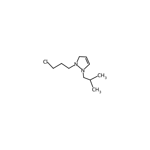 CC(C)CN1C=CCN1CCCCl